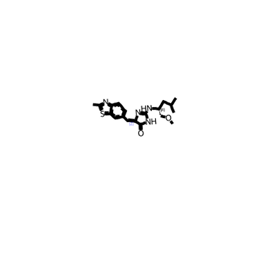 COC[C@@H](CC(C)C)NC1=N/C(=C\c2ccc3nc(C)sc3c2)C(=O)N1